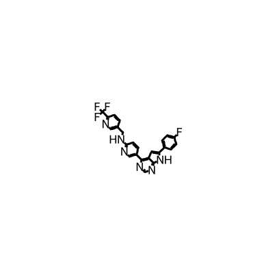 Fc1ccc(-c2cc3c(-c4ccc(NCc5ccc(C(F)(F)F)nc5)nc4)ncnc3[nH]2)cc1